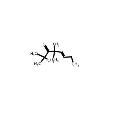 CC/C=C/C(C)(C)C(=O)C(C)(C)C